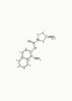 Nc1c(OC(=O)N2CC[C@@H](N)C2)ccc2ccccc12